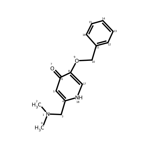 CN(C)Cc1cc(=O)c(OCc2ccccc2)c[nH]1